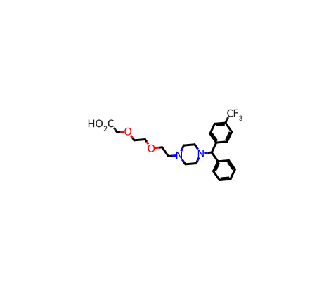 O=C(O)COCCOCCN1CCN(C(c2ccccc2)c2ccc(C(F)(F)F)cc2)CC1